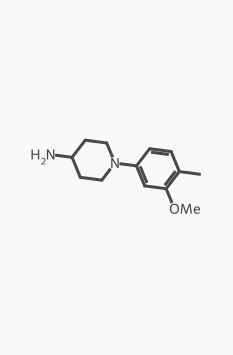 COc1cc(N2CCC(N)CC2)ccc1C